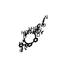 CCn1c(-c2cnccc2COC)c2c3cc(ccc31)-c1cccc(c1)C[C@H](NC(=O)[C@H](C(C)C)N(C)C(=O)[C@@]1(O)CCN(C(=O)C#CCN(C)C)C1)C(=O)N1CCC[C@@](O)(N1)C(=O)OCC(C)(C)C2